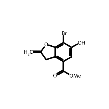 C=C1Cc2c(C(=O)OC)cc(O)c(Br)c2O1